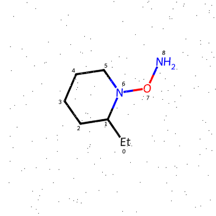 CCC1CCCCN1ON